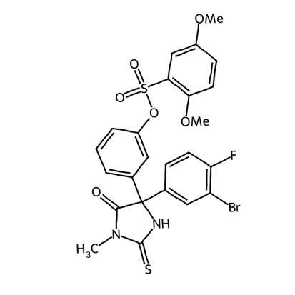 COc1ccc(OC)c(S(=O)(=O)Oc2cccc(C3(c4ccc(F)c(Br)c4)NC(=S)N(C)C3=O)c2)c1